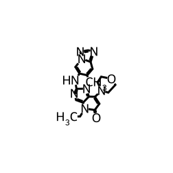 CCn1c(=O)cc(N2CCOCC2)c2nc(Nc3cn4ncnc4cc3C)ncc21